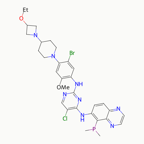 CCOC1CN(C2CCN(c3cc(OC)c(Nc4ncc(Cl)c(Nc5ccc6nccnc6c5P(C)C)n4)cc3Br)CC2)C1